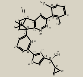 CC1(C)[C@H]2CC[C@@]1(c1cncc(-c3nc([C@H](O)C4CC4)co3)n1)c1nnc(-c3c(F)cccc3F)cc12